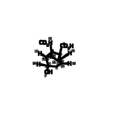 O=C(O)[C@@H]1[C@@H]2CC[C@@H]([C@@H](O)C2)N1C(=O)O